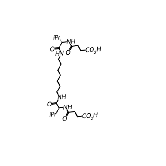 CC(C)[C@H](NC(=O)CCC(=O)O)C(=O)NCCCCCCCNC(=O)[C@@H](NC(=O)CCC(=O)O)C(C)C